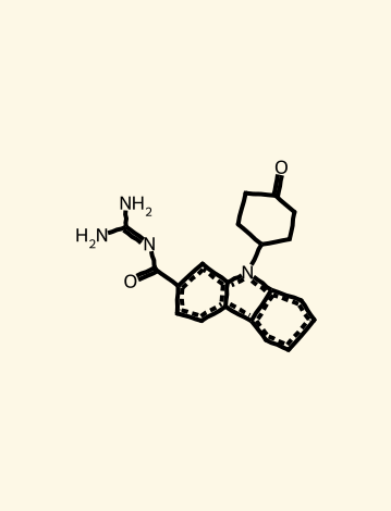 NC(N)=NC(=O)c1ccc2c3ccccc3n(C3CCC(=O)CC3)c2c1